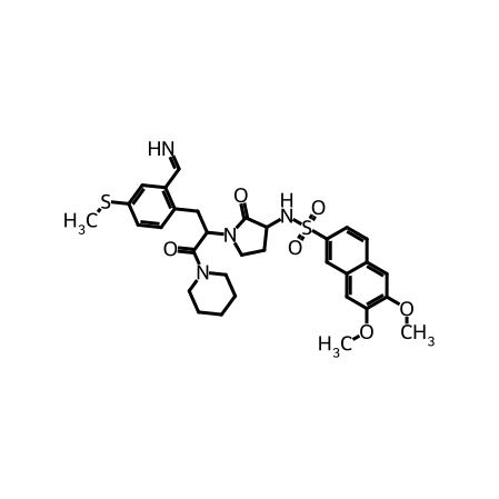 COc1cc2ccc(S(=O)(=O)NC3CCN(C(Cc4ccc(SC)cc4C=N)C(=O)N4CCCCC4)C3=O)cc2cc1OC